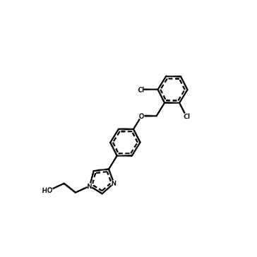 OCCn1cnc(-c2ccc(OCc3c(Cl)cccc3Cl)cc2)c1